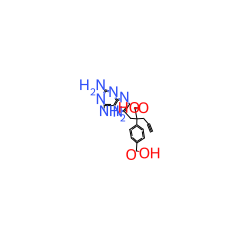 C#CCC(Cc1cnc2nc(N)nc(N)c2n1)(C(=O)O)c1ccc(C(=O)O)cc1